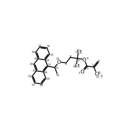 C=C(C(=O)OC(CC)(CC)CCOC(C)c1c2ccccc2cc2ccccc12)C(F)(F)F